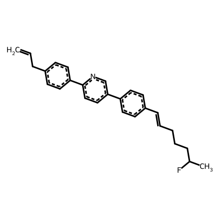 C=CCc1ccc(-c2ccc(-c3ccc(C=CCCCC(C)F)cc3)cn2)cc1